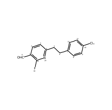 O=Cc1ccc(CCc2ccc(Cl)cc2)nc1F